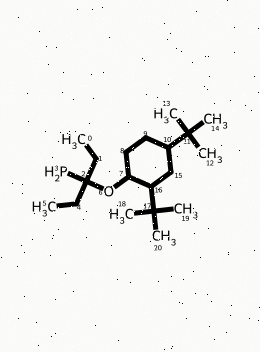 CCC(P)(CC)OC1CCC(C(C)(C)C)CC1C(C)(C)C